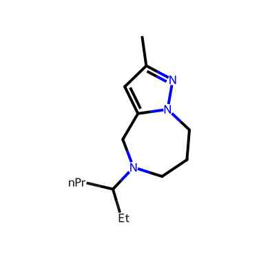 CCCC(CC)N1CCCn2nc(C)cc2C1